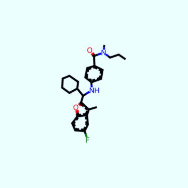 CCCN(C)C(=O)c1ccc(NC(c2oc3ccc(F)cc3c2C)C2CCCCC2)cc1